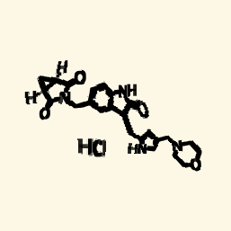 Cl.O=C1Nc2ccc(CN3C(=O)[C@H]4C[C@H]4C3=O)cc2/C1=C/c1cc(CN2CCOCC2)c[nH]1